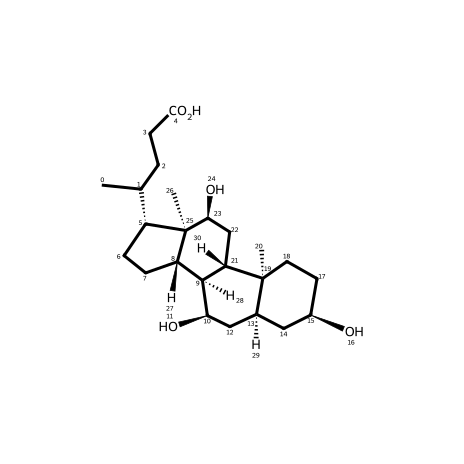 CC(CCC(=O)O)[C@H]1CC[C@H]2[C@@H]3[C@H](O)C[C@@H]4C[C@H](O)CC[C@]4(C)[C@H]3C[C@H](O)[C@]12C